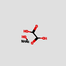 CC(=O)NO.O=C(O)C(=O)O